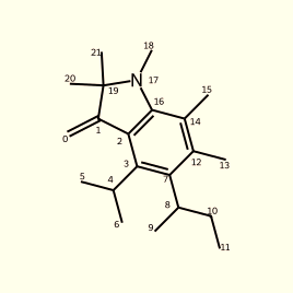 C=C1c2c(C(C)C)c(C(C)CC)c(C)c(C)c2N(C)C1(C)C